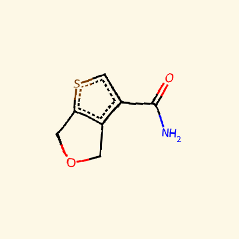 NC(=O)c1csc2c1COC2